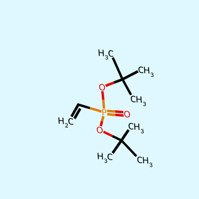 C=CP(=O)(OC(C)(C)C)OC(C)(C)C